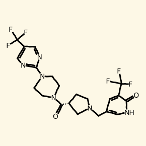 O=C([C@@H]1CCN(Cc2c[nH]c(=O)c(C(F)(F)F)c2)C1)N1CCN(c2ncc(C(F)(F)F)cn2)CC1